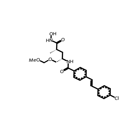 COCOC[C@H](C[C@H](C)C(=O)NO)NC(=O)c1ccc(C=Cc2ccc(Cl)cc2)cc1